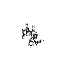 CCCN(C)C(=O)N1CCCC[C@@H]1CNC1=C(F)CNC(c2c[nH]c3ncc(Cl)cc23)=N1